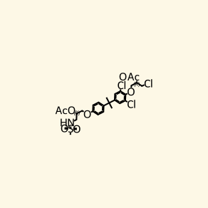 CC(=O)O[C@H](CNS(C)(=O)=O)COc1ccc(C(C)(C)c2cc(Cl)c(OC[C@H](CCl)OC(C)=O)c(Cl)c2)cc1